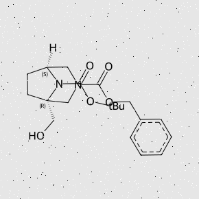 CC(C)(C)OC(=O)N1[C@H]2CC[C@]1(CO)CN(C(=O)OCc1ccccc1)C2